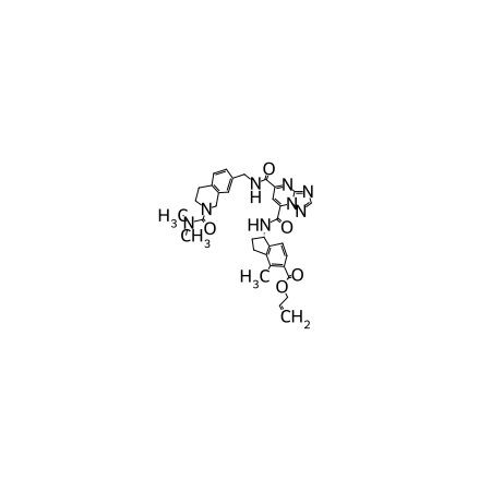 C=CCOC(=O)c1ccc2c(c1C)CC[C@@H]2NC(=O)c1cc(C(=O)NCc2ccc3c(c2)CN(C(=O)N(C)C)CC3)nc2ncnn12